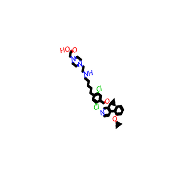 O=C(O)CN1CCN(CCNCCCCCc2cc(Cl)c(COC3(c4cnccc4-c4ccccc4OC4CC4)CC3)cc2Cl)CC1